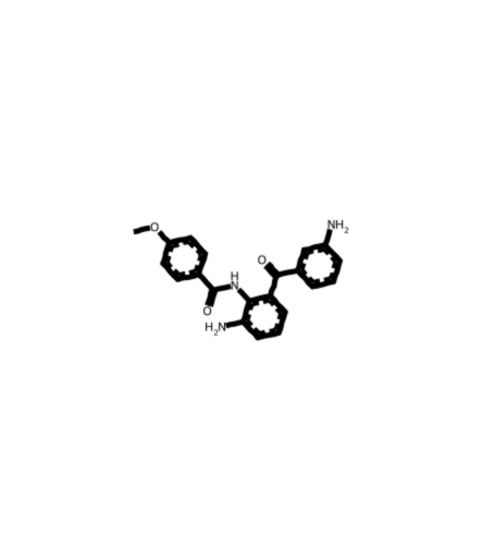 COc1ccc(C(=O)Nc2c(N)cccc2C(=O)c2cccc(N)c2)cc1